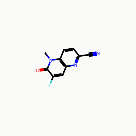 Cn1c(=O)c(F)cc2nc(C#N)ccc21